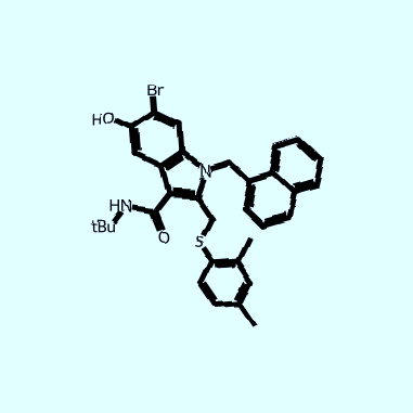 Cc1ccc(SCc2c(C(=O)NC(C)(C)C)c3cc(O)c(Br)cc3n2Cc2cccc3ccccc23)c(C)c1